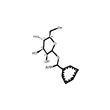 CC(=O)NC(OC1O[C@H](CO)[C@@H](O)[C@H](O)[C@@H]1O)c1ccccc1